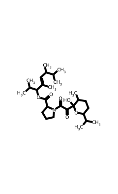 C/C(=C\C(C)C(C)C)C(OC(=O)C1CCCN1C(=O)C(=O)C1(O)OC(C(C)C)CCC1C)C(C)C